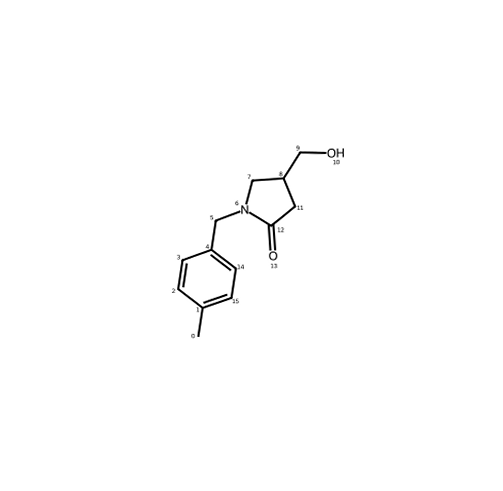 Cc1ccc(CN2CC(CO)CC2=O)cc1